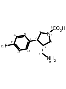 NC[C@H]1CN(C(=O)O)C[C@@H]1c1ccc(F)cc1